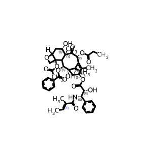 C/C=C(\C)C(=O)N[C@@H](c1ccccc1)[C@@H](O)C(=O)O[C@H]1C[C@@]2(O)[C@@H](OC(=O)c3ccccc3)C3[C@](C)(C(=O)[C@H](OC(=O)CC)C(=C1C)C2(C)C)[C@@H](O)C[C@H]1OC[C@@]31OC(C)=O